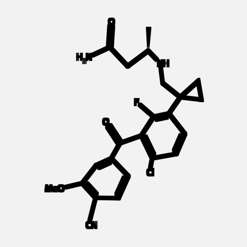 COc1cc(C(=O)c2c(Cl)ccc(C3(CN[C@@H](C)CC(N)=O)CC3)c2F)ccc1C#N